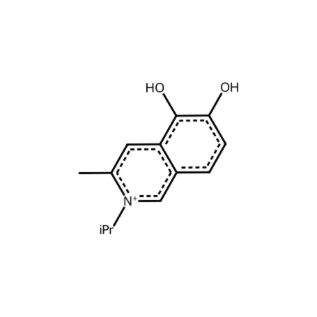 Cc1cc2c(O)c(O)ccc2c[n+]1C(C)C